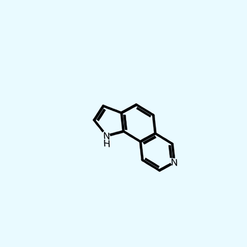 c1cc2c(ccc3cc[nH]c32)cn1